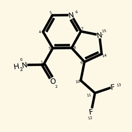 NC(=O)c1ccnc2c1C(CC(F)F)=C[N]2